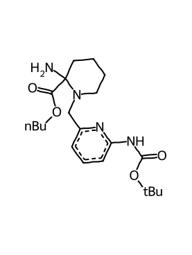 CCCCOC(=O)C1(N)CCCCN1Cc1cccc(NC(=O)OC(C)(C)C)n1